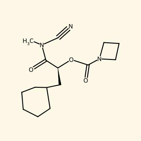 CN(C#N)C(=O)[C@H](CC1CCCCC1)OC(=O)N1CCC1